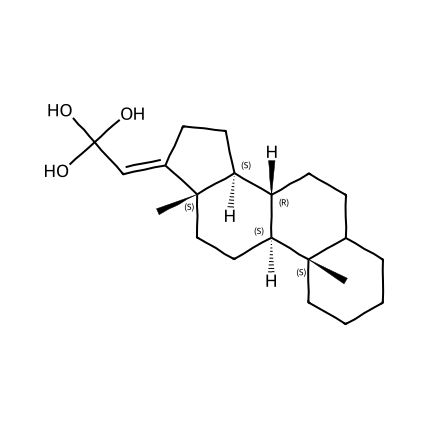 C[C@]12CCCCC1CC[C@@H]1[C@@H]2CC[C@]2(C)C(=CC(O)(O)O)CC[C@@H]12